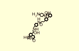 NC1CCC(N(C(=O)O)c2cc(CCC(=O)Nc3ccc(CNC[C@@H](O)c4ccc(O)c5[nH]c(=O)ccc45)cc3)ccc2-c2ccccc2)CC1